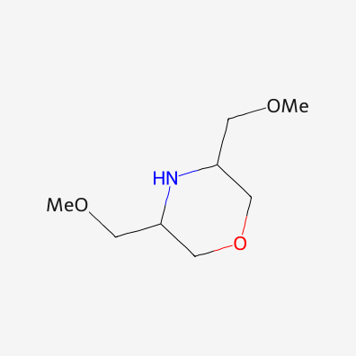 COCC1COCC(COC)N1